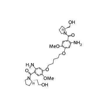 COc1cc(C(=O)N2CCC[C@H]2CCO)c(N)cc1OCCCCCOc1cc(N)c(C(=O)N2CCC[C@H]2CO)cc1OC